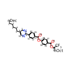 CCCCCCCCCCCCCCCc1cnc(-c2ccc(C(=O)Oc3ccc(C(=O)O[C@H](CCCCCCCC)C(F)(F)F)cc3)cc2)nc1